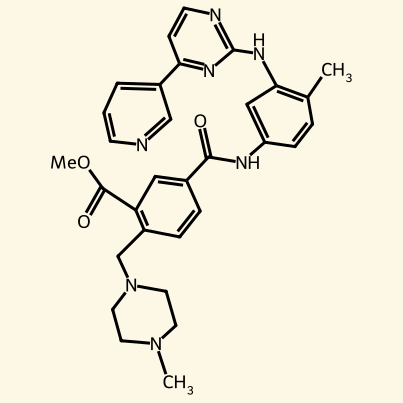 COC(=O)c1cc(C(=O)Nc2ccc(C)c(Nc3nccc(-c4cccnc4)n3)c2)ccc1CN1CCN(C)CC1